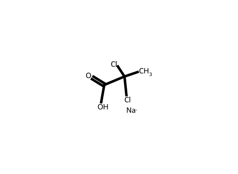 CC(Cl)(Cl)C(=O)O.[Na]